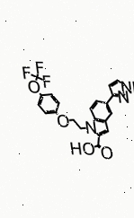 O=C(O)c1cc2cc(-c3cc[nH]n3)ccc2n1CCOc1ccc(OC(F)(F)F)cc1